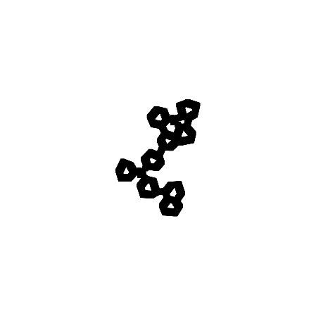 c1ccc(N(c2ccc(-c3cccc(-c4ccccc4-n4c5ccccc5c5ccccc54)c3)cc2)c2cccc(-c3cccc4ccccc34)c2)cc1